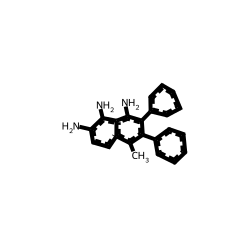 Cc1c(-c2ccccc2)c(-c2ccccc2)c(N)c2c(N)c(N)ccc12